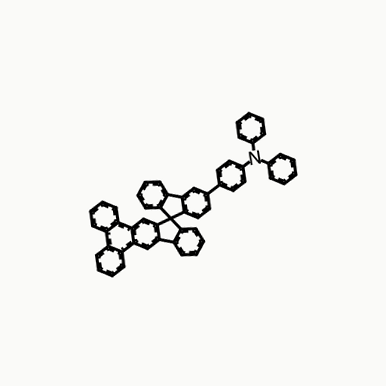 c1ccc(N(c2ccccc2)c2ccc(-c3ccc4c(c3)-c3ccccc3C43c4ccccc4-c4cc5c6ccccc6c6ccccc6c5cc43)cc2)cc1